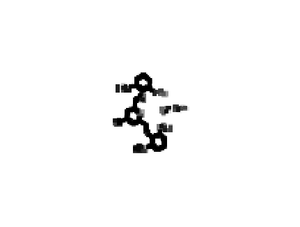 CCCCc1cccc(CCCC)c1N=Cc1cc(Cl)cc(C=Nc2c(CCCC)cccc2CCCC)n1.[Cl-].[Cl-].[Fe+2]